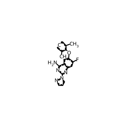 Cc1cccc(C)c1Oc1cc2c(N)nc(-n3cccn3)nc2cc1F